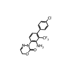 Nc1c(N2N=CCOC2=O)ccc(-c2ccc(Cl)cc2)c1C(F)(F)F